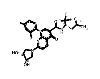 CC(C)C[C@H](NC(=O)c1cn(-c2ncc(F)cc2F)c2nc(N3C[C@@H](O)[C@H](O)C3)ccc2c1=O)C(F)(F)F